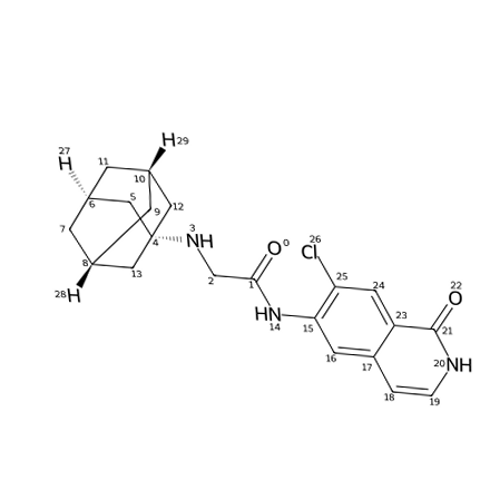 O=C(CN[C@]12C[C@H]3C[C@H](C[C@H](C3)C1)C2)Nc1cc2cc[nH]c(=O)c2cc1Cl